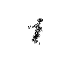 COc1cc2c(Oc3ccc(N4C(=O)CN(c5cncc(C(F)(F)F)c5)C4=O)cc3C(C)C)ncnc2cc1OCCCS(C)(=O)=O